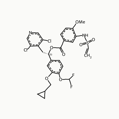 C=CS(=O)(=O)Nc1cc(C(=O)O[C@@H](Cc2c(Cl)cncc2Cl)c2ccc(OC(F)F)c(OCC3CC3)c2)ccc1OC